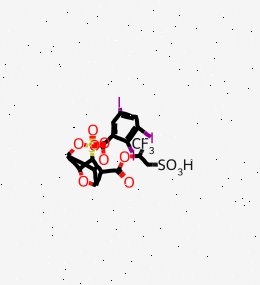 O=C(OC1C2OS(=O)(=O)C3C2OC1C3C(=O)OC(CS(=O)(=O)O)C(F)(F)F)c1cc(I)cc(I)c1I